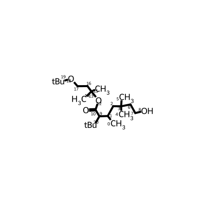 CC(CC(C)(C)CCO)C(C(=O)OC(C)(C)CCOC(C)(C)C)C(C)(C)C